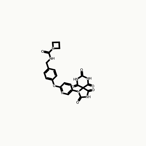 O=C1NC(=O)C2(C(=O)N1)C(=O)NC(=O)N2c1ccc(Oc2ccc(CNC(=O)N3CCC3)cc2)nc1